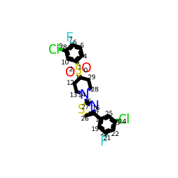 O=S(=O)(c1ccc(F)c(Cl)c1)C1CCN(c2nc(-c3cc(F)cc(Cl)c3)cs2)CC1